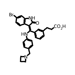 O=C(O)CCc1cccc(C(Nc2ccc(CN3CCC3)cc2)=C2C(=O)Nc3cc(Br)ccc32)c1